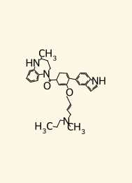 CCCN(C)C/C=C/COC1=CC(C(=O)N2CC[C@H](C)Nc3ccccc32)CC=C1c1ccc2[nH]ccc2c1